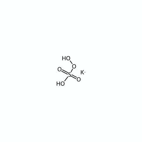 O=S(=O)(O)OO.[K]